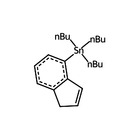 CCC[CH2][Sn]([CH2]CCC)([CH2]CCC)[c]1cccc2c1C=CC2